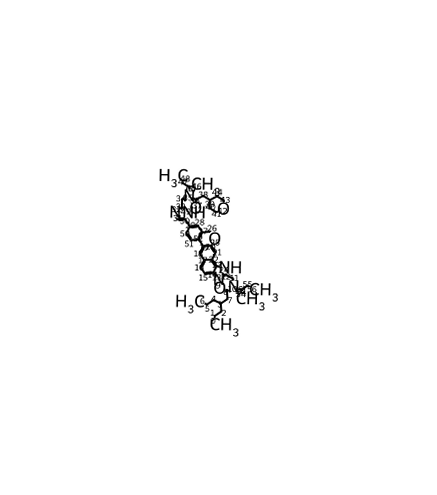 CCCC(CCC)CC(=O)N(Cc1nc2ccc3cc4c(cc3c2[nH]1)OCc1cc(-c2cnc(CN(C(=O)CC3CCOCC3)[C@@H](C)CC)[nH]2)ccc1-4)[C@@H](C)CC